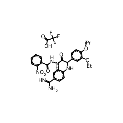 CCOc1cc(C(Nc2ccc(C(=N)N)cc2)C(=O)NNC(=O)c2ccccc2[N+](=O)[O-])ccc1OC(C)C.O=C(O)C(F)(F)F